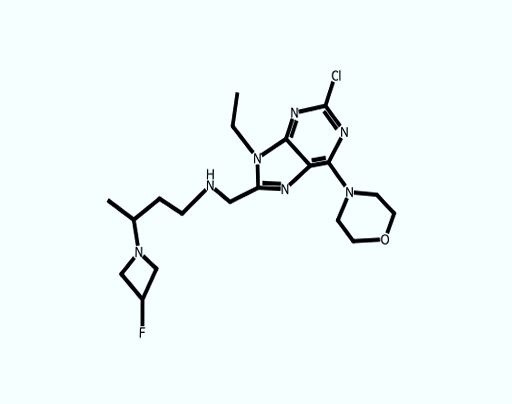 CCn1c(CNCCC(C)N2CC(F)C2)nc2c(N3CCOCC3)nc(Cl)nc21